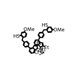 CCC1=Cc2c(-c3ccc(Cc4ccc(OC)cc4S)cc3)cccc2[CH]1[Zr]([Cl])([Cl])([CH]1C(CC)=Cc2c(-c3ccc(Cc4ccc(OC)cc4S)cc3)cccc21)[SiH](C)C